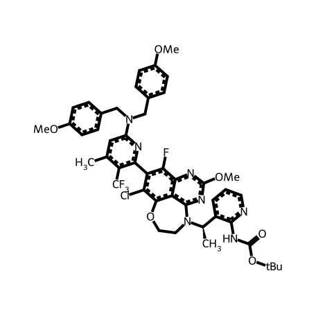 COc1ccc(CN(Cc2ccc(OC)cc2)c2cc(C)c(C(F)(F)F)c(-c3c(Cl)c4c5c(nc(OC)nc5c3F)N([C@H](C)c3cccnc3NC(=O)OC(C)(C)C)CCO4)n2)cc1